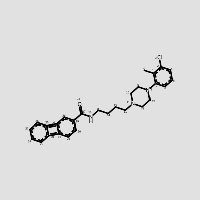 Cc1c(Cl)cccc1N1CCN(CCCCNC(=O)c2ccc3c(c2)=c2ccccc2=3)CC1